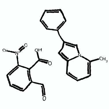 Cc1cccc2cc(-c3ccccc3)cn12.O=Cc1cccc([N+](=O)[O-])c1C(=O)O